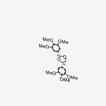 COc1cc([C@@H]2OC[C@H](c3cc(OC)c(OC)c(OC)c3)O2)cc(OC)c1OC